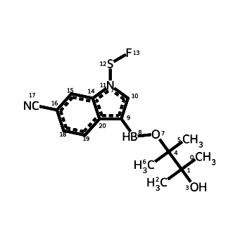 CC(C)(O)C(C)(C)OBc1cn(SF)c2cc(C#N)ccc12